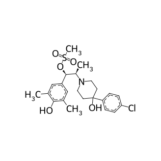 Cc1cc([C@@H](OS(C)(=O)=O)[C@@H](C)N2CCC(O)(c3ccc(Cl)cc3)CC2)cc(C)c1O